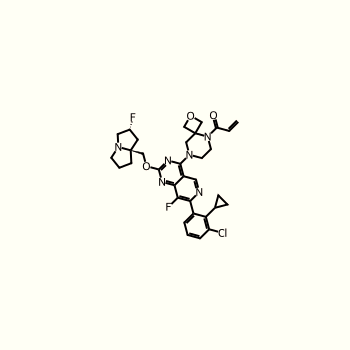 C=CC(=O)N1CCN(c2nc(OC[C@@]34CCCN3C[C@H](F)C4)nc3c(F)c(-c4cccc(Cl)c4C4CC4)ncc23)CC12COC2